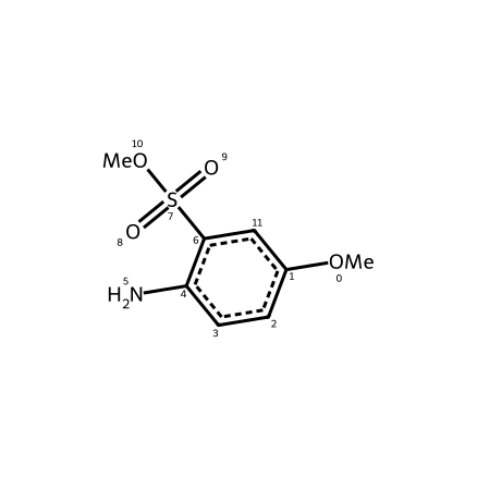 COc1ccc(N)c(S(=O)(=O)OC)c1